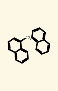 O=C(O)c1cccc2ccccc12.c1ccc2ccccc2c1